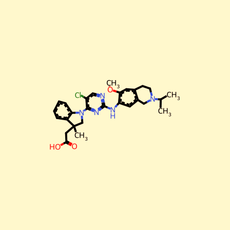 COc1cc2c(cc1Nc1ncc(Cl)c(N3CC(C)(CC(=O)O)c4ccccc43)n1)CN(C(C)C)CC2